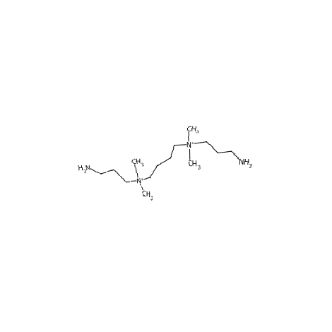 C[N+](C)(CCCN)CCCC[N+](C)(C)CCCN